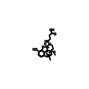 CO[C@@]12CC[C@@H](NCCC(=O)O)[C@@H]3Oc4c(O)ccc5c4[C@@]31CCN(C)C2C5